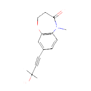 CN1C(=O)CCOc2cc(C#CC(C)(C)O)ccc21